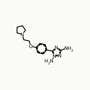 Nc1nc(-c2ccc(OCCN3CCCC3)cc2)n(N)n1